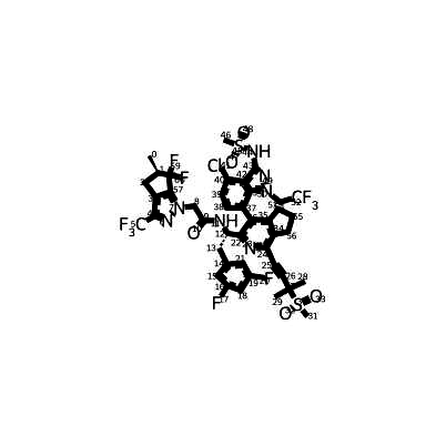 C[C@@H]1Cc2c(C(F)(F)F)nn(CC(=O)N[C@@H](Cc3cc(F)cc(F)c3)c3nc(C#CC(C)(C)S(C)(=O)=O)c4c(c3-c3ccc(Cl)c5c(NS(C)(=O)=O)nn(CC(F)(F)F)c35)CCC4)c2C1(F)F